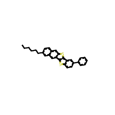 CCCCCCc1ccc2cc3sc4c5cc(-c6ccccc6)ccc5sc4c3cc2c1